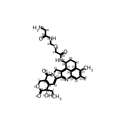 CC[C@@]1(O)C(=O)OCc2c1cc1n(c2=O)Cc2c-1nc1cc(F)c(C)c3c1c2C(NC(=O)COCNC(=O)CN)CC3